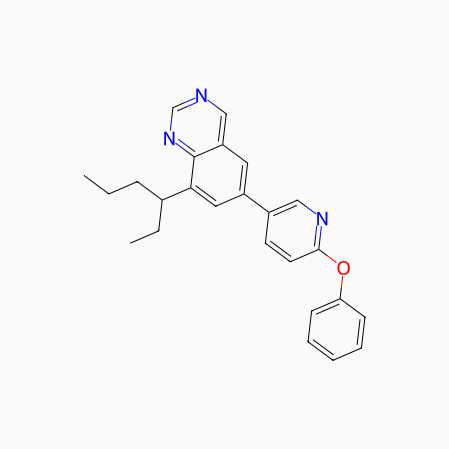 CCCC(CC)c1cc(-c2ccc(Oc3ccccc3)nc2)cc2cncnc12